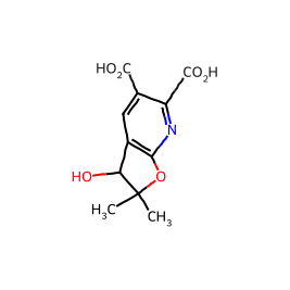 CC1(C)Oc2nc(C(=O)O)c(C(=O)O)cc2C1O